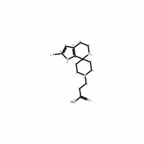 O=C(O)CCN1CCC2(CC1)OCCc1cc(F)sc12